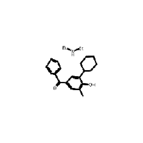 CCNCC.Cc1cc(C(=O)c2ccccc2)cc(C2CCCCC2)c1O